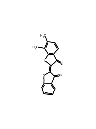 Cc1ccc2c(c1C)SC(=C1Sc3ccccc3C1=O)C2=O